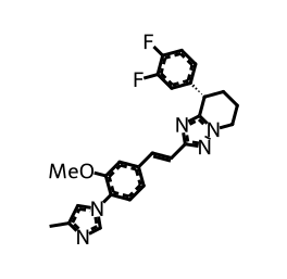 COc1cc(/C=C/c2nc3n(n2)CCC[C@H]3c2ccc(F)c(F)c2)ccc1-n1cnc(C)c1